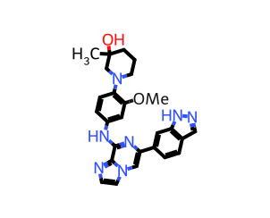 COc1cc(Nc2nc(-c3ccc4cn[nH]c4c3)cn3ccnc23)ccc1N1CCCC(C)(O)C1